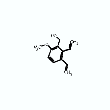 C=Cc1ccc(OC)c(CO)c1C=C